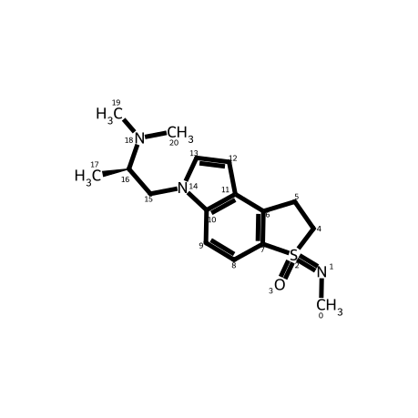 CN=S1(=O)CCc2c1ccc1c2ccn1C[C@@H](C)N(C)C